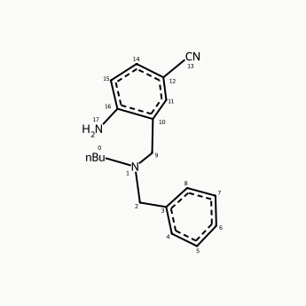 CCCCN(Cc1ccccc1)Cc1cc(C#N)ccc1N